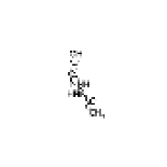 CCOC(=O)CCN/C=C(\C=N)Nc1ncc2ccn(C[C@H]3CC[C@H](O)CC3)c2n1